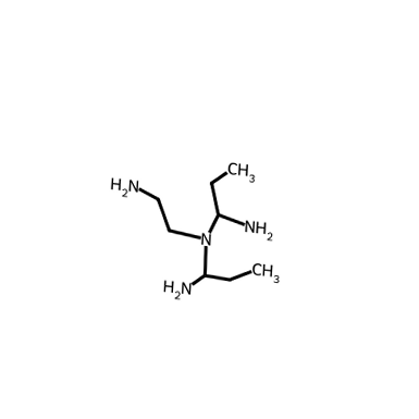 CCC(N)N(CCN)C(N)CC